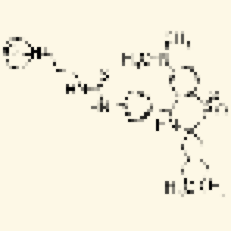 CCCCC1(CCCC)CS(=O)(=O)c2ccc(N(C)C)cc2C(c2ccc(NC(=S)NCCC[N+]34CCC(CC3)CC4)cc2)N1